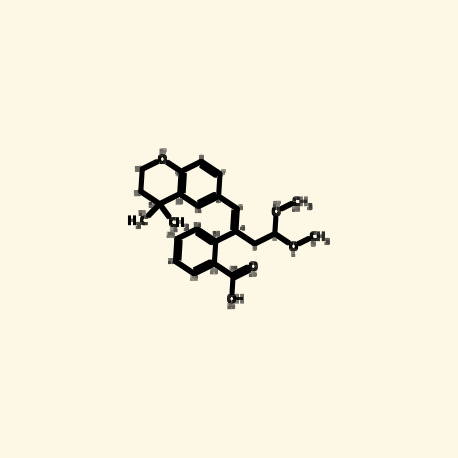 COC(CC(=Cc1ccc2c(c1)C(C)(C)CCO2)c1ccccc1C(=O)O)OC